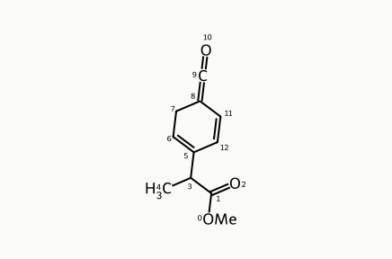 COC(=O)C(C)C1=CCC(=C=O)C=C1